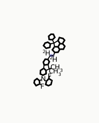 [2H]/C(=C(/[2H])c1cc2c3c(ccc4cccc(c43)C2(c2ccccc2)c2ccccc2)c1)c1ccc2c(c1)C(C)(C)c1cc(N(c3ccccc3F)c3ccccc3F)ccc1-2